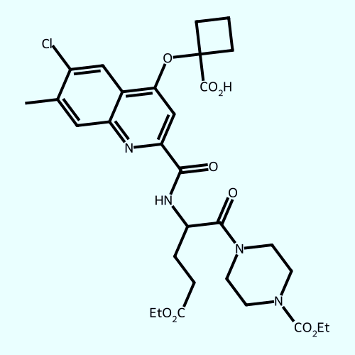 CCOC(=O)CCC(NC(=O)c1cc(OC2(C(=O)O)CCC2)c2cc(Cl)c(C)cc2n1)C(=O)N1CCN(C(=O)OCC)CC1